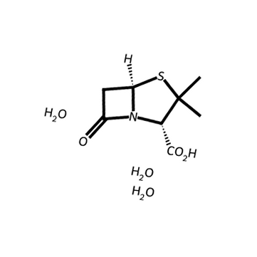 CC1(C)S[C@@H]2CC(=O)N2[C@H]1C(=O)O.O.O.O